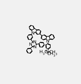 C[Si](C)(C)c1ccc(-n2c3ccccc3c3cc(-c4ccc5c6ccccc6n(-c6cccc(-c7nc(-c8ccccc8)nc(-c8ccccc8)n7)c6)c5c4)ccc32)cc1